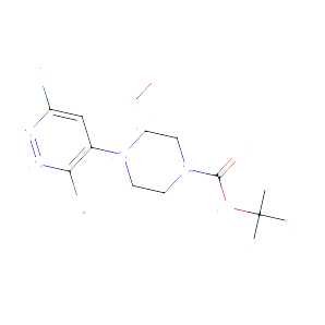 CC(C)(C)OC(=O)N1CCN(c2cc(Cl)nnc2Cl)[C@H](CO)C1